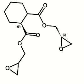 O=C(OC[C@@H]1CO1)C1CCCC[C@@H]1C(=O)OCC1CO1